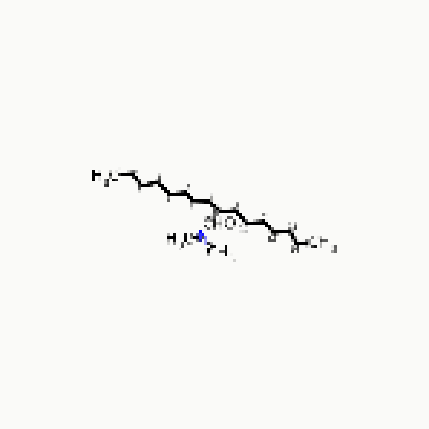 CCCCCCCCCCCCCCCC.CN(C)C=O